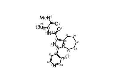 CNC(=O)[C@@H](NC(=O)c1nc(-c2ccncc2Cl)n2c1CCCCC2)C(C)(C)C